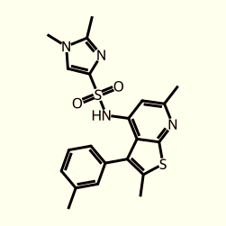 Cc1cccc(-c2c(C)sc3nc(C)cc(NS(=O)(=O)c4cn(C)c(C)n4)c23)c1